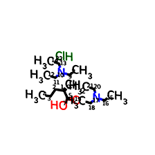 C=C(CCC)C(=O)O.CCN(CC)CC.CCN(CC)CC.Cl